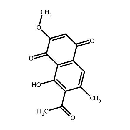 COC1=CC(=O)c2cc(C)c(C(C)=O)c(O)c2C1=O